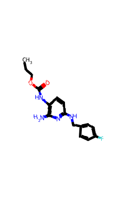 CCCOC(=O)Nc1ccc(NCc2ccc(F)cc2)nc1N